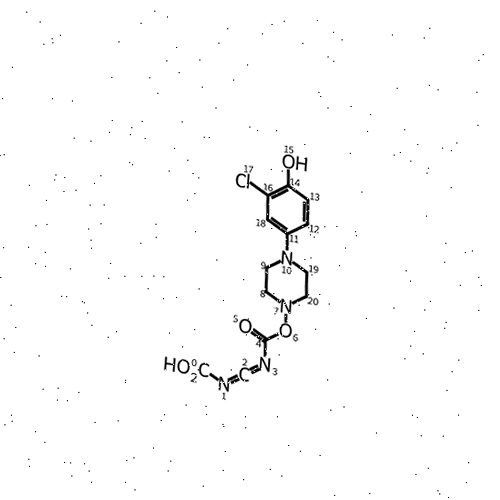 O=C(O)N=C=NC(=O)ON1CCN(c2ccc(O)c(Cl)c2)CC1